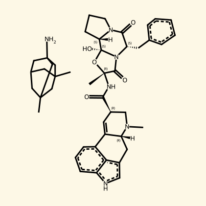 CC12CC3CC(C)(C1)CC(N)(C3)C2.CN1C[C@H](C(=O)N[C@]2(C)O[C@@]3(O)[C@@H]4CCCN4C(=O)[C@H](Cc4ccccc4)N3C2=O)C=C2c3cccc4[nH]cc(c34)C[C@H]21